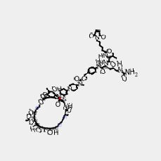 CO[C@H]1/C=C/O[C@@]2(C)Oc3c(C)c(O)c4c(=O)c(c5sc6cc(N7CCC(N(C)C(=O)OCc8ccc(NC(=O)[C@H](CCCNC(N)=O)NC(=O)[C@@H](NC(=O)CCCCCN9C(=O)C=CC9=O)C(C)C)cc8)CC7)ccc6nc-5c4c3C2=O)NC(=O)/C(C)=C\C=C\[C@H](C)[C@H](O)[C@@H](C)[C@@H](O)[C@@H](C)[C@H](OC(C)=O)[C@@H]1C